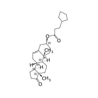 C[C@]12CC[C@H](OC(=O)CCC3CCCC3)CC1=CC[C@@H]1[C@@H]2CC[C@]2(C)C(=O)CC[C@@H]12